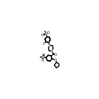 CS(=O)(=O)c1ccc(N2CCN(C(=O)c3cc(S(C)(=O)=O)ccc3OC3CCCC3)CC2)c(F)c1